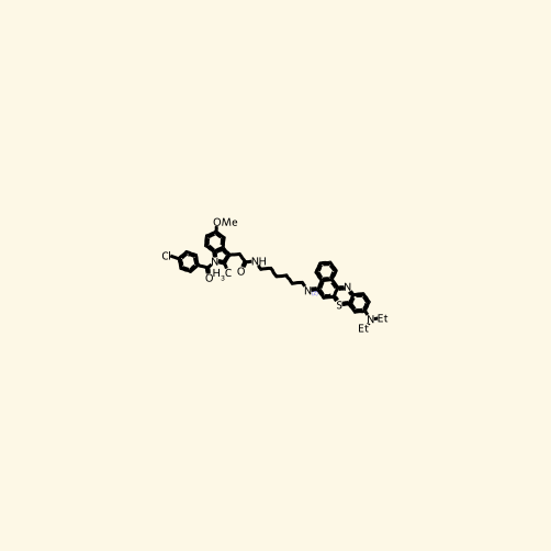 CCN(CC)c1ccc2nc3c4ccccc4/c(=N\CCCCCCNC(=O)Cc4c(C)n(C(=O)c5ccc(Cl)cc5)c5ccc(OC)cc45)cc-3sc2c1